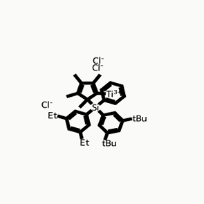 CCc1cc(CC)cc([Si](c2ccccc2)(c2cc(C(C)(C)C)cc(C(C)(C)C)c2)C2(C)C(C)=C(C)C(C)=[C]2[Ti+3])c1.[Cl-].[Cl-].[Cl-]